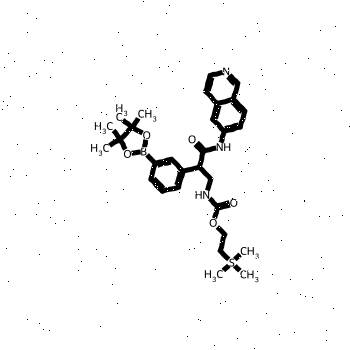 CC1(C)OB(c2cccc(C(CNC(=O)OCCS(C)(C)C)C(=O)Nc3ccc4cnccc4c3)c2)OC1(C)C